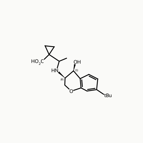 CC(N[C@@H]1COc2cc(C(C)(C)C)ccc2[C@@H]1O)C1(C(=O)O)CC1